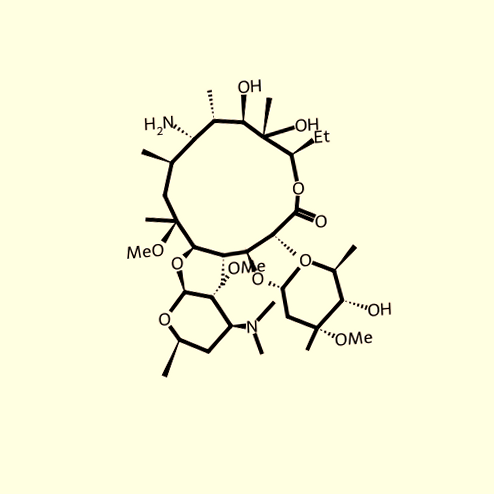 CC[C@H]1OC(=O)[C@H](C)[C@@H](O[C@H]2C[C@@](C)(OC)[C@@H](O)[C@H](C)O2)[C@H](C)[C@@H](O[C@@H]2O[C@H](C)C[C@H](N(C)C)[C@H]2OC)[C@@](C)(OC)C[C@@H](C)[C@H](N)[C@H](C)[C@@H](O)[C@]1(C)O